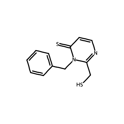 S=c1ccnc(CS)n1Cc1ccccc1